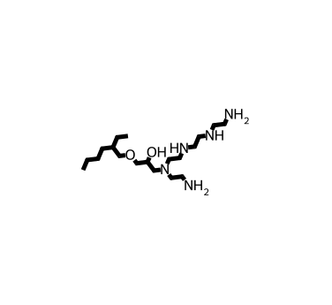 CCCCC(CC)COCC(O)CN(CCN)CCNCCNCCN